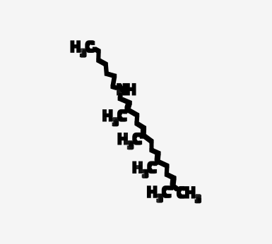 CCCCCCCNC/C=C(\C)CC/C=C(\C)CC/C=C(\C)CCC=C(C)C